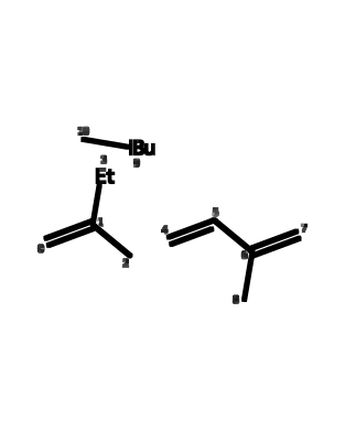 C=C(C)CC.C=CC(=C)C.CCC(C)C